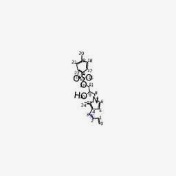 C=C/C=C\c1ccn(CC(O)COS(=O)(=O)c2ccc(C)cc2)c1C